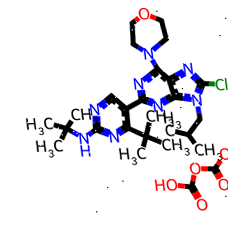 CC(C)Cn1c(Cl)nc2c(N3CCOCC3)nc(-c3cnc(NC(C)(C)C)nc3C(C)(C)C)nc21.O=C(O)OC(=O)O